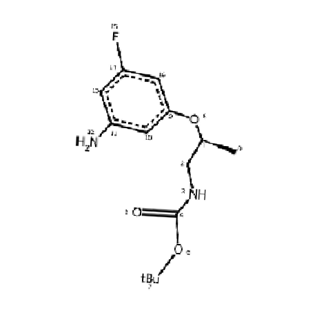 C[C@@H](CNC(=O)OC(C)(C)C)Oc1cc(N)cc(F)c1